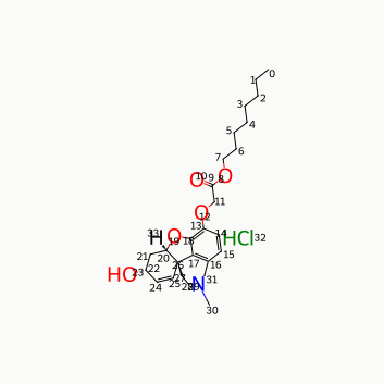 CCCCCCCCOC(=O)COc1ccc2c3c1O[C@H]1C[C@@H](O)C=C[C@@]31CCN(C)C2.Cl